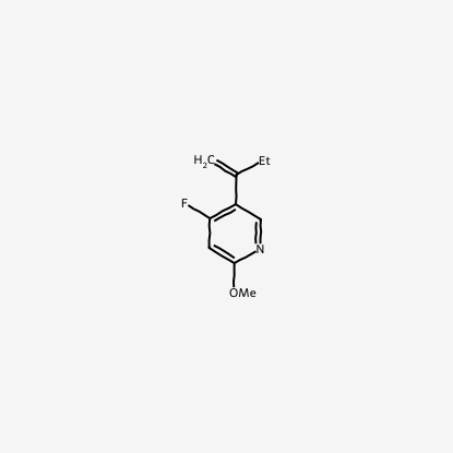 C=C(CC)c1cnc(OC)cc1F